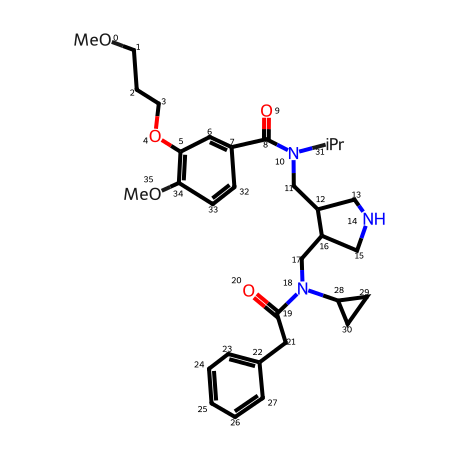 COCCCOc1cc(C(=O)N(CC2CNCC2CN(C(=O)Cc2ccccc2)C2CC2)C(C)C)ccc1OC